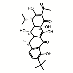 CC(=O)C1=C(O)[C@@H](N(C)C)C2[C@@H](O)C3C(=C(O)[C@]2(O)C1=O)C(=O)c1c(ccc(C(C)(C)C)c1O)[C@@H]3C